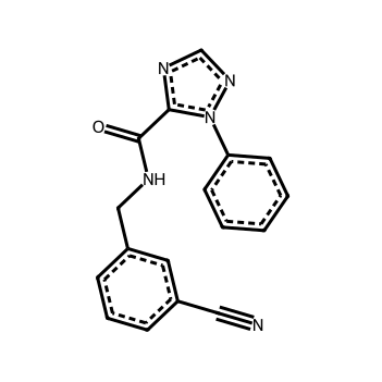 N#Cc1cccc(CNC(=O)c2ncnn2-c2ccccc2)c1